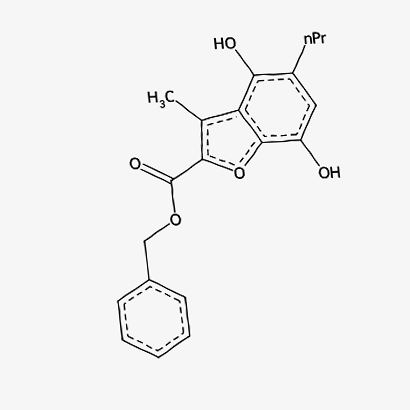 CCCc1cc(O)c2oc(C(=O)OCc3ccccc3)c(C)c2c1O